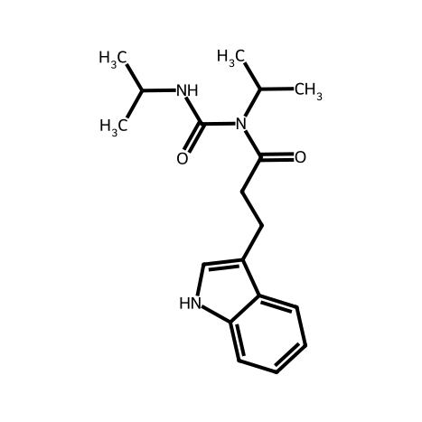 CC(C)NC(=O)N(C(=O)CCc1c[nH]c2ccccc12)C(C)C